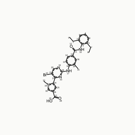 CCc1cccc(CC)c1NC(=O)c1ccc(Nc2ncc(Br)c(-c3cc(C(=O)O)cn3C)n2)c(C)c1